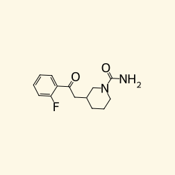 NC(=O)N1CCCC(CC(=O)c2ccccc2F)C1